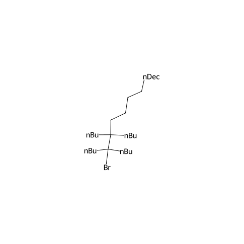 CCCCCCCCCCCCCCC(CCCC)(CCCC)C(Br)(CCCC)CCCC